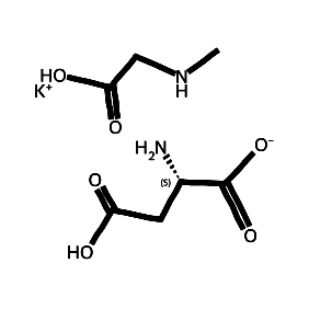 CNCC(=O)O.N[C@@H](CC(=O)O)C(=O)[O-].[K+]